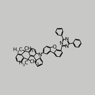 CC1(C)c2ccccc2C(C)(C)c2c1ccc1c2c2ccccc2n1-c1ccc2oc3c(-c4nc(-c5ccccc5)nc(-c5ccccc5)n4)cccc3c2c1